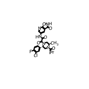 CC(C)C(=O)N1C[C@H](c2ccc(F)c(Cl)c2)N(C(=O)C(=O)Nc2cnc3o[nH]c(=O)c3c2)C[C@H]1C